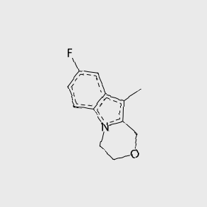 Cc1c2n(c3ccc(F)cc13)CCOC2